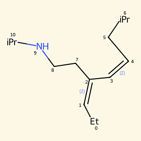 CC/C=C(\C=C/CC(C)C)CCNC(C)C